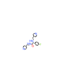 O=C(NCCc1ccncc1)C(NCCc1ccncc1)c1ccc(F)cc1